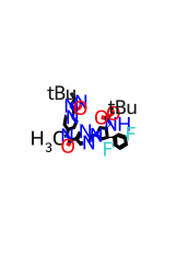 CN(C(=O)c1cnc(N2C[C@H](NC(=O)OC(C)(C)C)[C@@H](c3cc(F)ccc3F)C2)nc1)C1CCN(c2nc(C(C)(C)C)no2)CC1